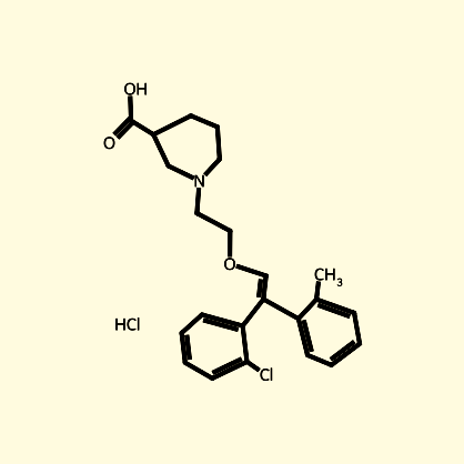 Cc1ccccc1C(=COCCN1CCCC(C(=O)O)C1)c1ccccc1Cl.Cl